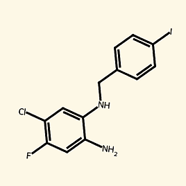 Nc1cc(F)c(Cl)cc1NCc1ccc(I)cc1